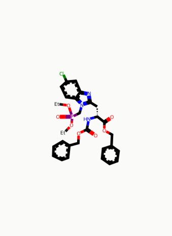 CCOP(=O)(Cn1c(C[C@@H](NC(=O)OCc2ccccc2)C(=O)OCc2ccccc2)nc2cc(Cl)ccc21)OCC